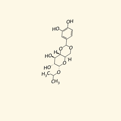 CC(C)O[C@H]1O[C@@H]2COC(c3ccc(O)c(O)c3)O[C@H]2[C@H](O)[C@H]1O